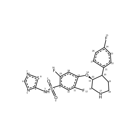 O=S(=O)(Nc1ncns1)c1cc(F)c(O[C@@H]2CNCCC2c2ccc(F)cc2)cc1F